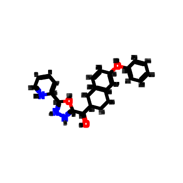 O=C(c1nnc(-c2ccccn2)o1)C1CCc2cc(Oc3ccccc3)ccc2C1